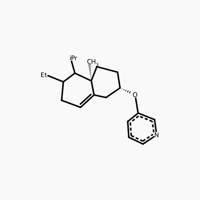 CCC1CC=C2C[C@@H](Oc3cccnc3)CC[C@]2(C)C1C(C)C